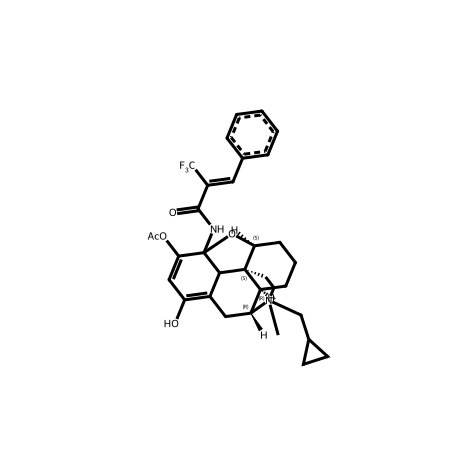 CC(=O)OC1=CC(O)=C2C[C@@H]3[C@@H]4CCC[C@@H]5OC1(NC(=O)C(=Cc1ccccc1)C(F)(F)F)C2[C@@]54CC[N+]3(C)CC1CC1